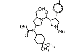 CC1(C)CCC(N(C(=O)C(C)(C)C)[C@H]2C[C@@H](CO)N(C(=O)[C@@H]3CN(C(C)(C)C)C[C@H]3c3ccc(Cl)cc3)C2)CC1